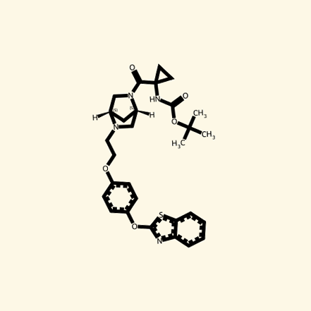 CC(C)(C)OC(=O)NC1(C(=O)N2C[C@@H]3C[C@H]2CN3CCOc2ccc(Oc3nc4ccccc4s3)cc2)CC1